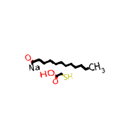 CCCCCCCCCCC[C](=O)[Na].O=C(O)CS